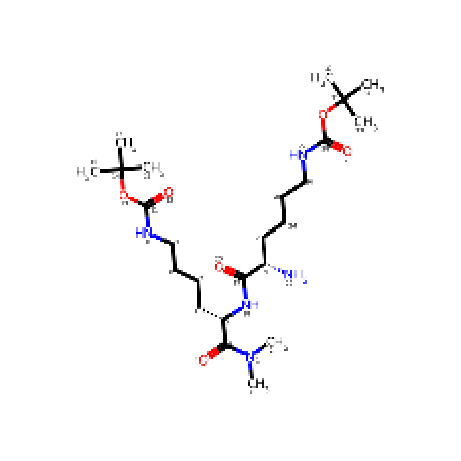 CN(C)C(=O)[C@H](CCCCNC(=O)OC(C)(C)C)NC(=O)[C@@H](N)CCCCNC(=O)OC(C)(C)C